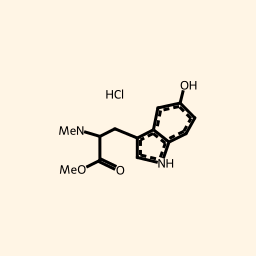 CNC(Cc1c[nH]c2ccc(O)cc12)C(=O)OC.Cl